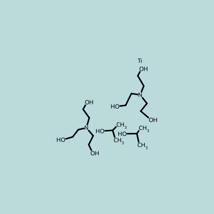 CC(C)O.CC(C)O.OCCN(CCO)CCO.OCCN(CCO)CCO.[Ti]